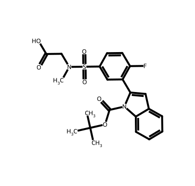 CN(CC(=O)O)S(=O)(=O)c1ccc(F)c(-c2cc3ccccc3n2C(=O)OC(C)(C)C)c1